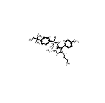 Cc1ccc(-c2c(OCCO)nn(C)c2NS(=O)(=O)c2ccc(C(C)(C)CO)cc2)cc1